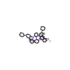 N#Cc1cc(C(F)(F)F)ccc1-c1cccc(-n2c3ccccc3c3cc(-c4ccccc4)ccc32)c1-c1c(C#N)cccc1-n1c2ccccc2c2cc(-c3ccccc3)ccc21